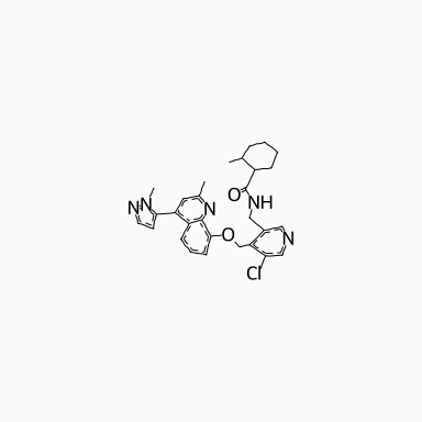 Cc1cc(-c2ccnn2C)c2cccc(OCc3c(Cl)cncc3CNC(=O)C3CCCCC3C)c2n1